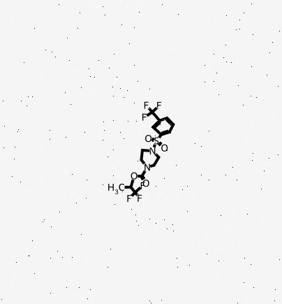 CC(OC(=O)N1CCN(S(=O)(=O)c2cccc(C(F)(F)F)c2)CC1)C(F)(F)F